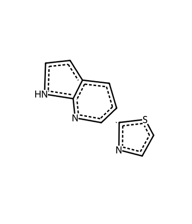 [c]1nccs1.c1cnc2[nH]ccc2c1